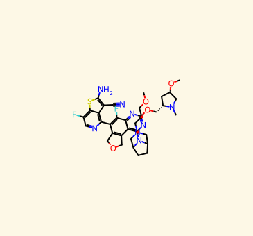 COCCCN1CC2CCC(C1)N2c1nc(OC[C@@H]2C[C@@H](OC)CN2C)nc2c(F)c(-c3ncc(F)c4sc(N)c(C#N)c34)c3c(c12)COC3